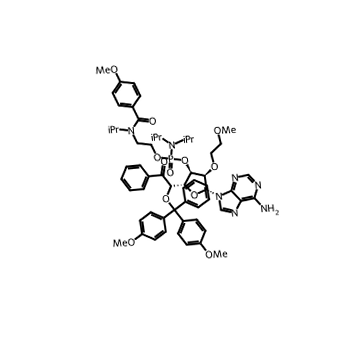 COCCO[C@@H]1[C@H](OP(=O)(OCCN(C(=O)c2ccc(OC)cc2)C(C)C)N(C(C)C)C(C)C)[C@@H](C(OC(c2ccccc2)(c2ccc(OC)cc2)c2ccc(OC)cc2)C(=O)c2ccccc2)O[C@H]1n1cnc2c(N)ncnc21